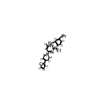 CCN(c1nc(C)cc(N2CC=C(c3ccco3)CC2)n1)c1ccc(C(C)C)cc1Br